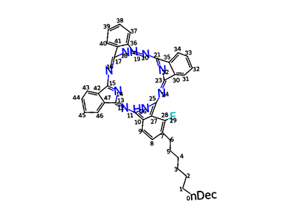 CCCCCCCCCCCCCCCCc1ccc2c3nc4nc(nc5[nH]c(nc6nc(nc([nH]3)c2c1F)-c1ccccc1-6)c1ccccc51)-c1ccccc1-4